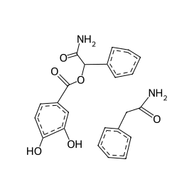 NC(=O)C(OC(=O)c1ccc(O)c(O)c1)c1ccccc1.NC(=O)Cc1ccccc1